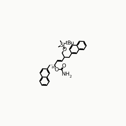 CC(C)(C)[Si](C)(C)OCC(C=C[C@@H](Cc1ccc2ccccc2c1)OC(N)=O)Cc1ccc2ccccc2c1